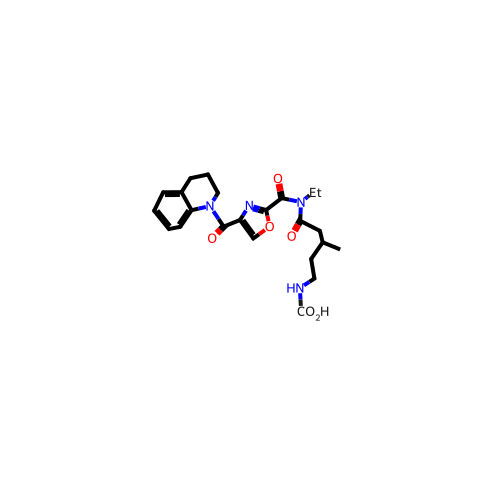 CCN(C(=O)CC(C)CCNC(=O)O)C(=O)c1nc(C(=O)N2CCCc3ccccc32)co1